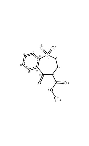 COC(=O)C1CCS(=O)(=O)c2ccccc2C1=O